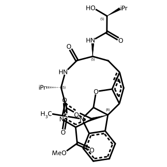 COC(=O)c1nc2oc1[C@]13c4cc(ccc4OC1N(S(C)(=O)=O)c1ccccc13)C[C@H](NC(=O)[C@@H](O)C(C)C)C(=O)N[C@H]2C(C)C